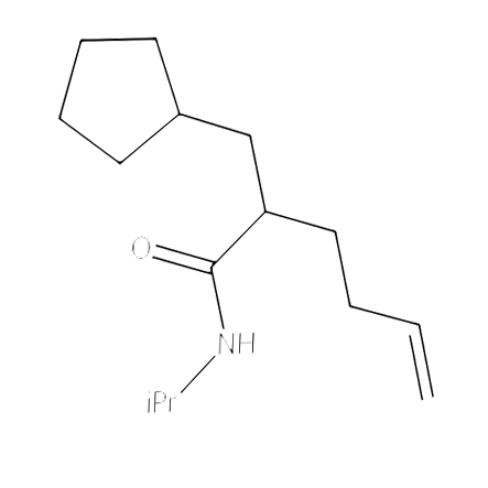 C=CCCC(CC1CCCC1)C(=O)NC(C)C